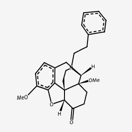 COc1ccc2c3c1O[C@H]1C(=O)CC[C@@]4(OC)[C@@H](C2)N(CCc2ccccc2)CC[C@]314